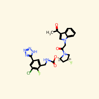 CC(=O)c1cn(CC(=O)N2C[C@H](F)C[C@@H]2OC(=O)NCc2cc(-c3nnn[nH]3)cc(Cl)c2F)c2ccccc12